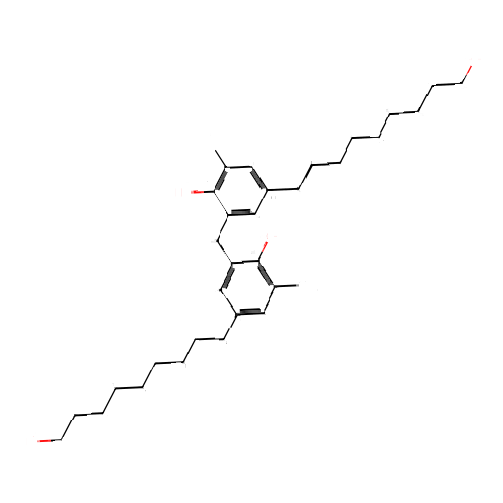 Cc1cc(CCCCCCCCCO)cc(Cc2cc(CCCCCCCCCO)cc(C)c2O)c1O